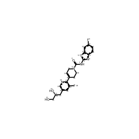 O=C(Nc1nc2ccc(F)cc2s1)N1CC=C(c2ncc(C[C@H](O)CO)cc2F)CC1